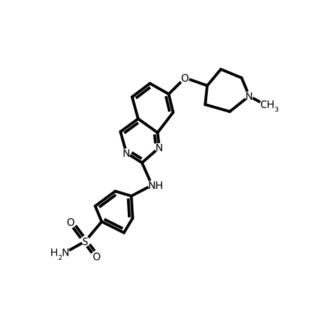 CN1CCC(Oc2ccc3cnc(Nc4ccc(S(N)(=O)=O)cc4)nc3c2)CC1